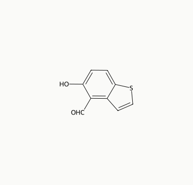 O=Cc1c(O)ccc2sccc12